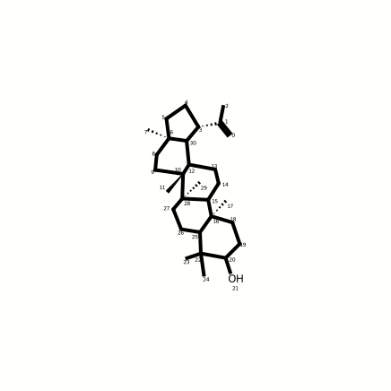 C=C(C)[C@H]1CC[C@]2(C)CC[C@]3(C)C(CCC4[C@@]5(C)CCC(O)C(C)(C)C5CC[C@]43C)C12